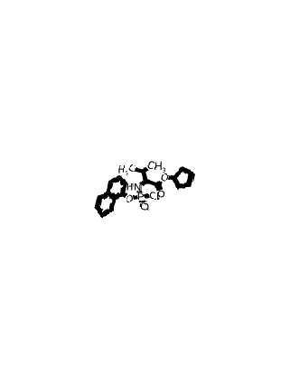 CC(C)C(NP(=O)(Cl)Oc1cccc2ccccc12)C(=O)OC1CCCC1